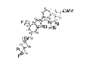 CO[C@H]1C[C@](c2cccc(-n3cc4c(C(F)(F)F)cc(CNC5CC6(C5)CC6(F)F)cn4c3=O)c2)(c2nncn2C)C1